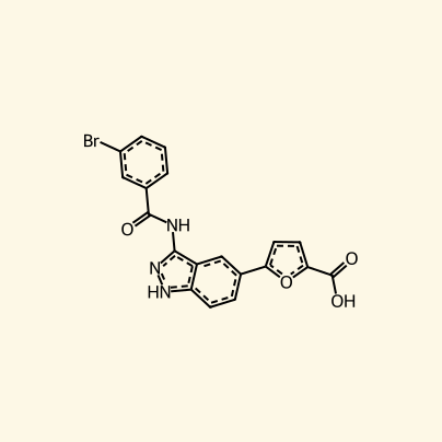 O=C(Nc1n[nH]c2ccc(-c3ccc(C(=O)O)o3)cc12)c1cccc(Br)c1